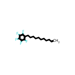 C=CCCCCCCCCCc1c(F)c(F)c(F)c(F)c1F